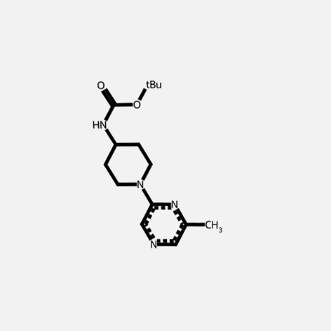 Cc1cncc(N2CCC(NC(=O)OC(C)(C)C)CC2)n1